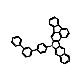 c1ccc(-c2cccc(-c3ccc(-n4c5cc6ccccc6cc5c5c6cccc7c6c(cc54)-c4ccccc4-7)cc3)c2)cc1